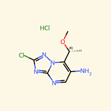 CO[C@H](C)c1c(N)cnc2nc(Cl)nn12.Cl